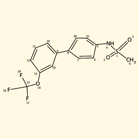 CS(=O)(=O)Nc1ccc(-c2cccc(OC(F)(F)F)c2)cc1